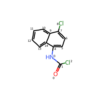 O=C(Cl)Nc1ccc(Cl)c2ccccc12